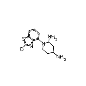 NC1CCN(c2cccc3sc([O])nc23)C(N)C1